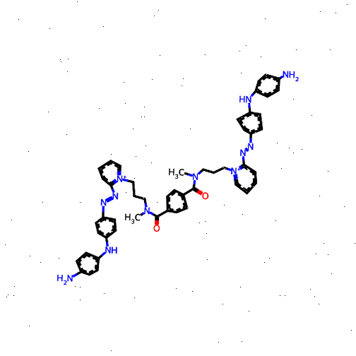 CN(CCC[n+]1ccccc1/N=N/c1ccc(Nc2ccc(N)cc2)cc1)C(=O)c1ccc(C(=O)N(C)CCC[n+]2ccccc2/N=N/c2ccc(Nc3ccc(N)cc3)cc2)cc1